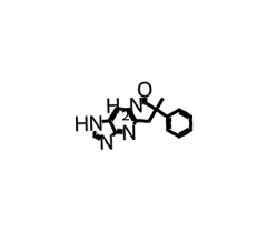 CC(Cc1ccc2[nH]cnc2n1)(C(N)=O)c1ccccc1